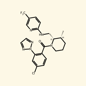 C[C@@H]1CCCN(C(=O)c2ccc(Cl)cc2-n2nccn2)[C@@H]1CNc1ccc(C(F)(F)F)cn1